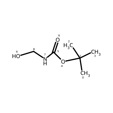 CC(C)(C)OC(=O)NCO